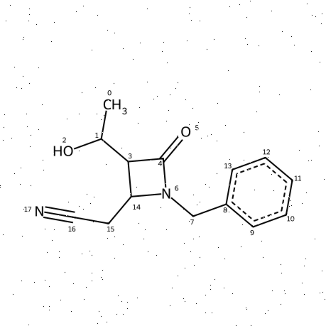 CC(O)C1C(=O)N(Cc2ccccc2)C1CC#N